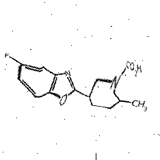 CC1CCC(c2nc3cc(F)ccc3o2)CN1C(=O)O